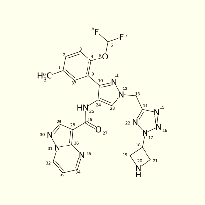 Cc1ccc(OC(F)F)c(-c2nn(Cc3nnn(C4CNC4)n3)cc2NC(=O)c2cnn3cccnc23)c1